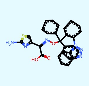 Nc1nc(C(=NOC(c2ccccc2)(c2ccccc2)c2ccccc2-n2nnc3ccccc32)C(=O)O)cs1